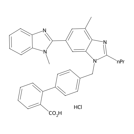 CCCc1nc2c(C)cc(-c3nc4ccccc4n3C)cc2n1Cc1ccc(-c2ccccc2C(=O)O)cc1.Cl